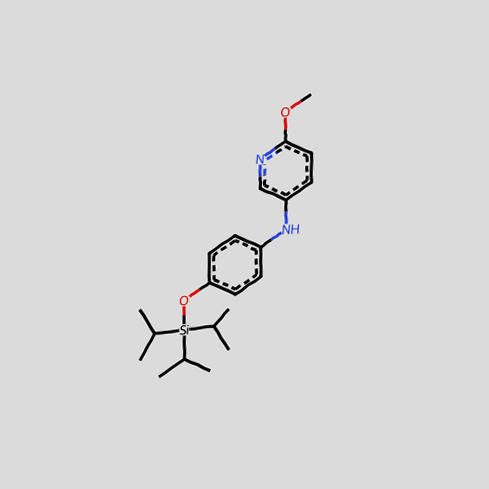 COc1ccc(Nc2ccc(O[Si](C(C)C)(C(C)C)C(C)C)cc2)cn1